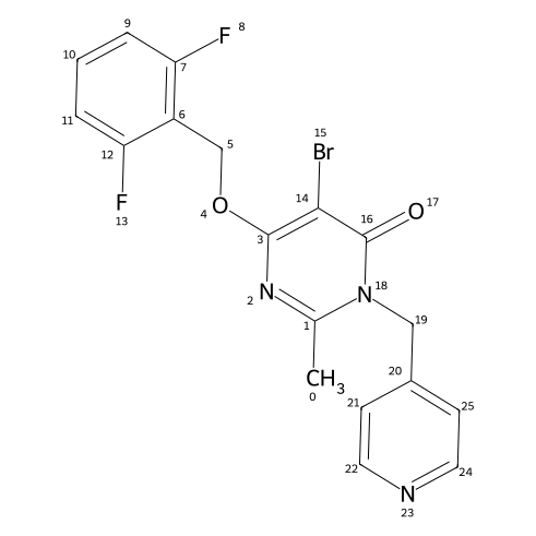 Cc1nc(OCc2c(F)cccc2F)c(Br)c(=O)n1Cc1ccncc1